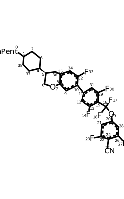 CCCCCC1CCC([C@@H]2COc3cc(-c4cc(F)c(C(F)(F)Oc5cc(F)c(C#N)c(F)c5)c(F)c4)c(F)cc3C2)CC1